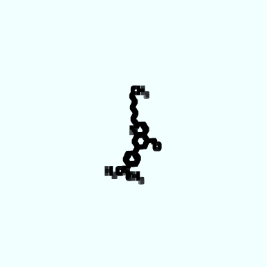 CCCCCCc1ccc2c(n1)CC(c1ccc(N(C)C)cc1)CC2C=O